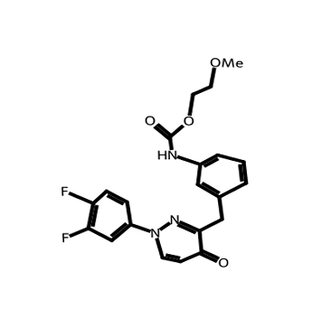 COCCOC(=O)Nc1cccc(Cc2nn(-c3ccc(F)c(F)c3)ccc2=O)c1